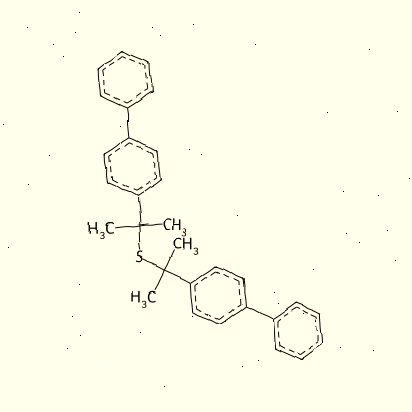 CC(C)(SC(C)(C)c1ccc(-c2ccccc2)cc1)c1ccc(-c2ccccc2)cc1